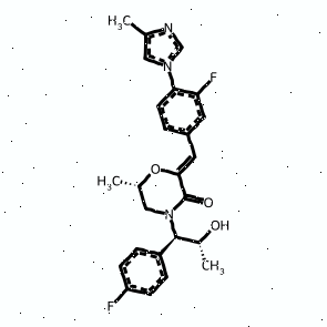 Cc1cn(-c2ccc(/C=C3\O[C@@H](C)CN([C@H](c4ccc(F)cc4)[C@@H](C)O)C3=O)cc2F)cn1